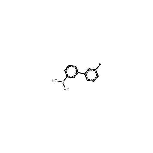 OB(O)c1cccc(-c2cccc(F)c2)c1